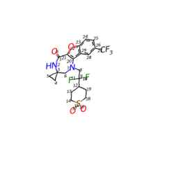 O=C1NC2(CC2)CN(CC(F)(F)C2CCS(=O)(=O)CC2)c2c1oc1ccc(C(F)(F)F)cc21